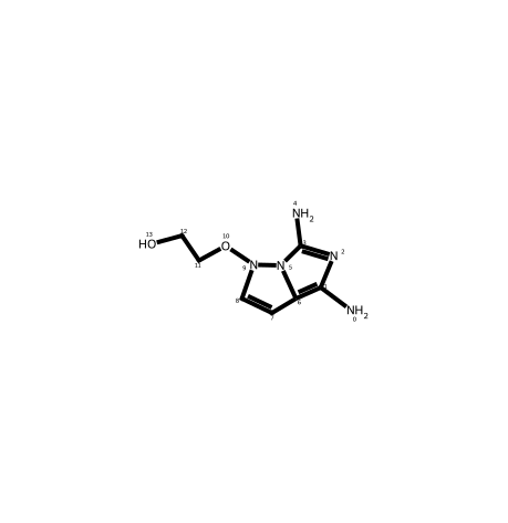 Nc1nc(N)n2c1ccn2OCCO